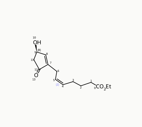 CCOC(=O)CCC/C=C\CC1=C[C@H](O)CC1=O